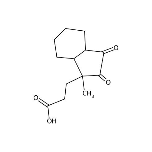 CC1(CCC(=O)O)C(=O)C(=O)C2CCCCC21